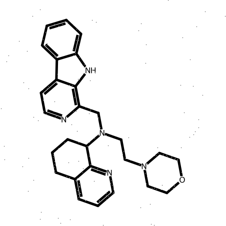 c1cnc2c(c1)CCCC2N(CCN1CCOCC1)Cc1nccc2c1[nH]c1ccccc12